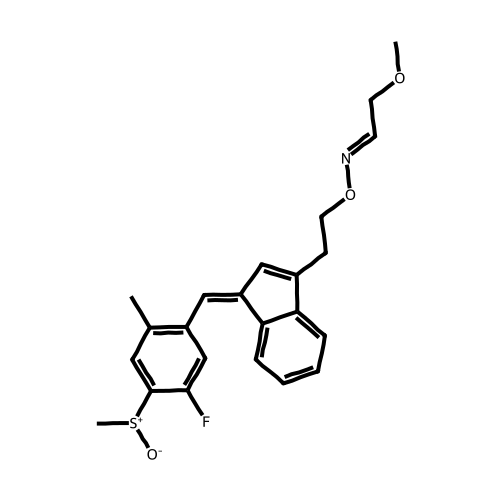 COCC=NOCCC1=C/C(=C/c2cc(F)c([S+](C)[O-])cc2C)c2ccccc21